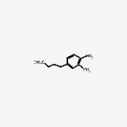 CCOC(=O)CCCc1ccc([N+](=O)[O-])c(C)c1